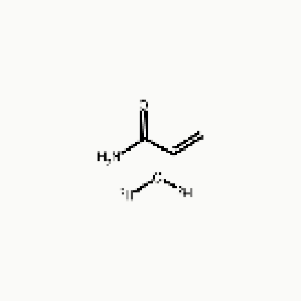 C=CC(N)=O.[2H]O[2H]